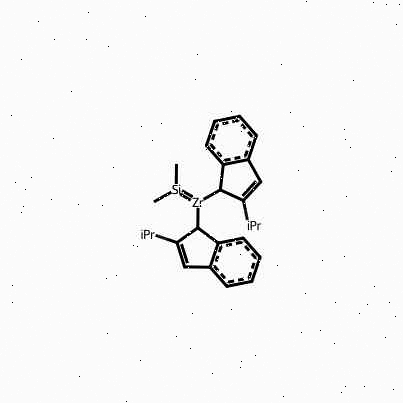 CC(C)C1=Cc2ccccc2[CH]1[Zr]([CH]1C(C(C)C)=Cc2ccccc21)=[Si](C)C